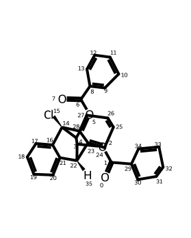 O=C(OC1C(OC(=O)c2ccccc2)[C@]2(Cl)c3ccccc3[C@H]1c1ccccc12)c1ccccc1